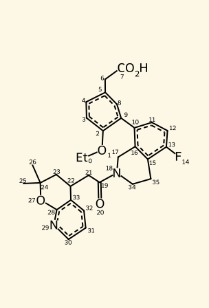 CCOc1ccc(CC(=O)O)cc1-c1ccc(F)c2c1CN(C(=O)CC1CC(C)(C)Oc3ncccc31)CC2